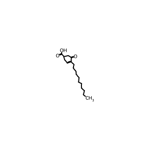 CCCCCCCCCCCC1=CCC(C(=O)O)CC1=O